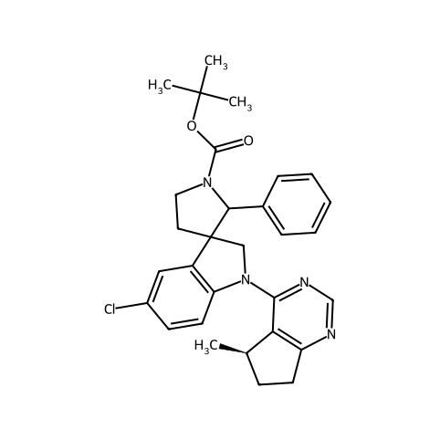 C[C@@H]1CCc2ncnc(N3CC4(CCN(C(=O)OC(C)(C)C)C4c4ccccc4)c4cc(Cl)ccc43)c21